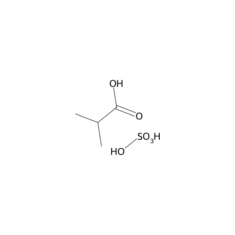 CC(C)C(=O)O.O=S(=O)(O)O